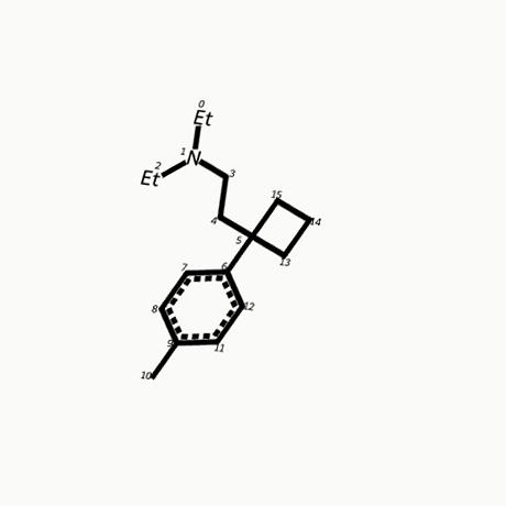 CCN(CC)CCC1(c2ccc(C)cc2)CCC1